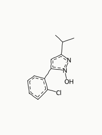 CC(C)c1cc(-c2ccccc2Cl)n(O)n1